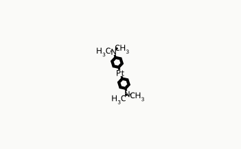 CN(C)c1cc[c]([Pt][c]2ccc(N(C)C)cc2)cc1